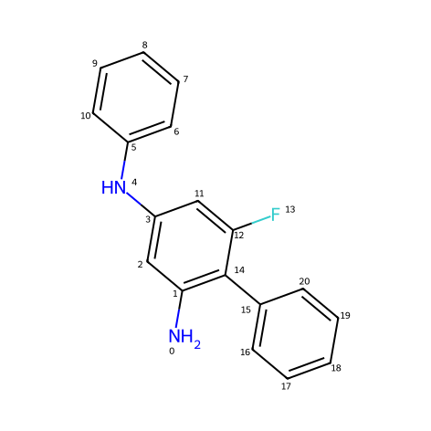 Nc1cc(Nc2ccccc2)cc(F)c1-c1ccccc1